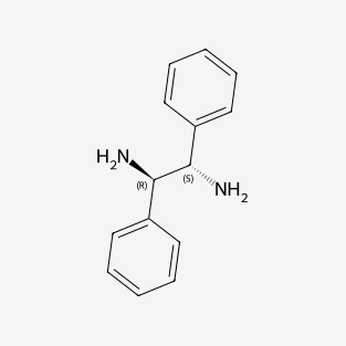 N[C@H](c1ccccc1)[C@@H](N)c1ccccc1